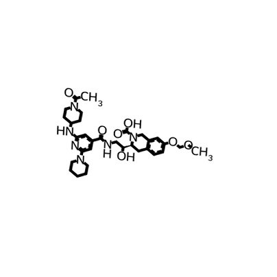 COCOc1ccc2c(c1)CN(C(=O)O)[C@H](C(O)CNC(=O)c1cc(NC3CCN(C(C)=O)CC3)nc(N3CCCCC3)c1)C2